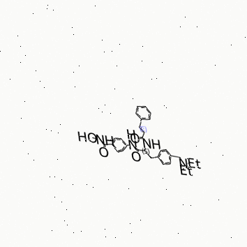 CCN(CC)Cc1ccc(C[C@H](NC(=O)/C=C/c2ccccc2)C(=O)Nc2ccc(C(=O)NO)cc2)cc1